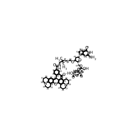 CC(C)(CNC(=O)c1ccc(C2=c3cc4c5c(c3Oc3c2cc2c6c3CCCN6CCC2)CCC[N+]=5CCC4)c(C(=O)[O-])c1)SSCOC1C[C@H](n2cnc3c(=O)[nH]c(N)nc32)O[C@@H]1COP(=O)(O)OP(=O)(O)OP(=O)(O)O